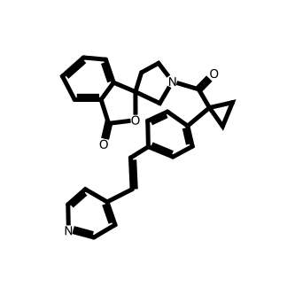 O=C1OC2(CCN(C(=O)C3(c4ccc(/C=C/c5ccncc5)cc4)CC3)C2)c2ccccc21